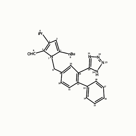 CCCCc1cc(C(C)C)c(C=O)n1Cc1ccc(-c2ccccc2)c(-c2nnn[nH]2)c1